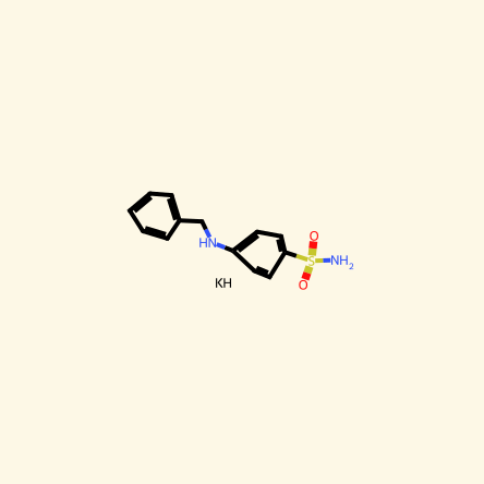 NS(=O)(=O)c1ccc(NCc2ccccc2)cc1.[KH]